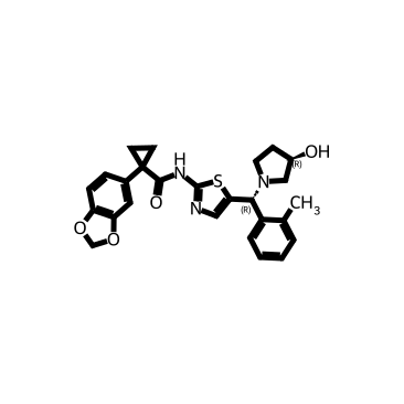 Cc1ccccc1[C@H](c1cnc(NC(=O)C2(c3ccc4c(c3)OCO4)CC2)s1)N1CC[C@@H](O)C1